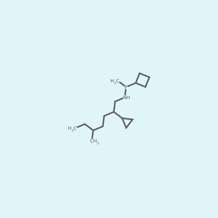 CCC(C)CCC(CNP(C)C1CCC1)C1CC1